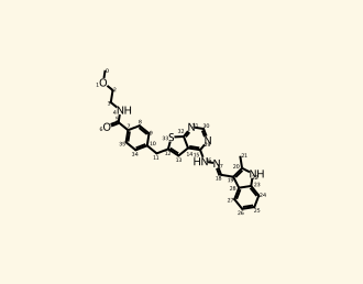 COCCNC(=O)c1ccc(Cc2cc3c(NN=Cc4c(C)[nH]c5ccccc45)ncnc3s2)cc1